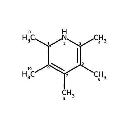 C[C]1NC(C)=C(C)C(C)=C1C